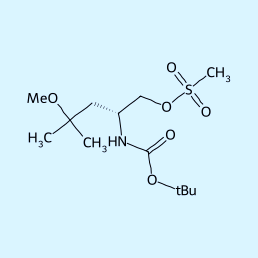 COC(C)(C)C[C@H](COS(C)(=O)=O)NC(=O)OC(C)(C)C